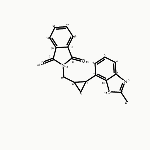 Cc1nc2cccc(C3CC3CN3C(=O)c4ccccc4C3=O)c2s1